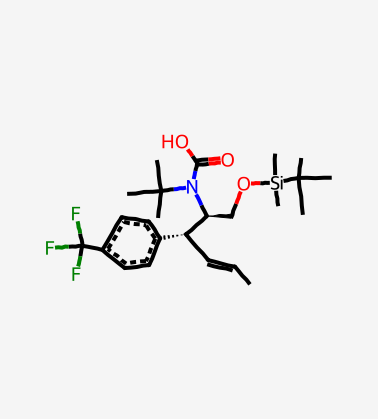 CC=C[C@H](c1ccc(C(F)(F)F)cc1)[C@H](CO[Si](C)(C)C(C)(C)C)N(C(=O)O)C(C)(C)C